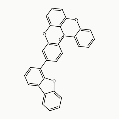 O=P12c3ccccc3Oc3cccc(c31)Oc1cc(-c3cccc4c3oc3ccccc34)ccc12